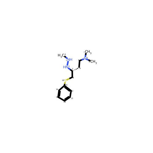 CNN[C@H](CCN(C)C)CSc1ccccc1